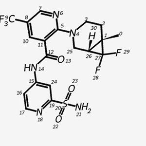 C[C@]12CCN(c3ncc(C(F)(F)F)cc3C(=O)Nc3ccnc(S(N)(=O)=O)c3)C[C@H]1C2(F)F